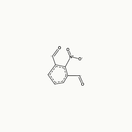 O=[C]c1cccc([C]=O)c1[N+](=O)[O-]